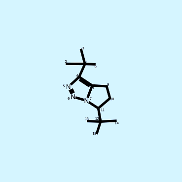 CC(C)(C)c1nnn2c1CCC2C(C)(C)C